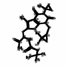 Cc1c(CN(NC(=O)OC(C)(C)C)C(N)=O)sc2c1c(=O)n(C1(C)CC1)c(=O)n2CC1CC1(F)F